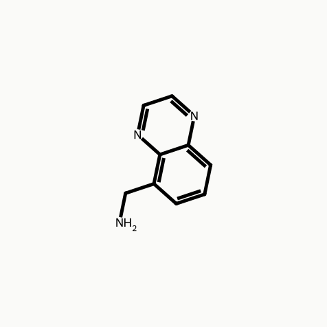 NCc1cccc2nccnc12